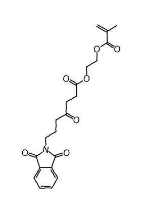 C=C(C)C(=O)OCCOC(=O)CCC(=O)CCCN1C(=O)c2ccccc2C1=O